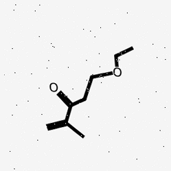 C=C(C)C(=O)CCOCC